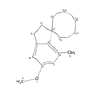 COc1cc(O)c2c(c1)CCC21CCCCC1